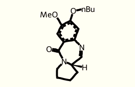 CCCCOc1cc2c(cc1OC)C(=O)N1CCCC[C@H]1C=N2